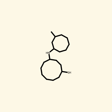 CC1CCCCCC(NC2CCCCCCC(S)CC2)C1